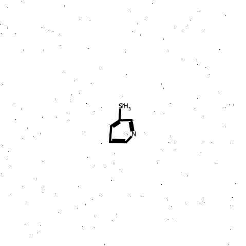 [SiH3]c1[c]nccc1